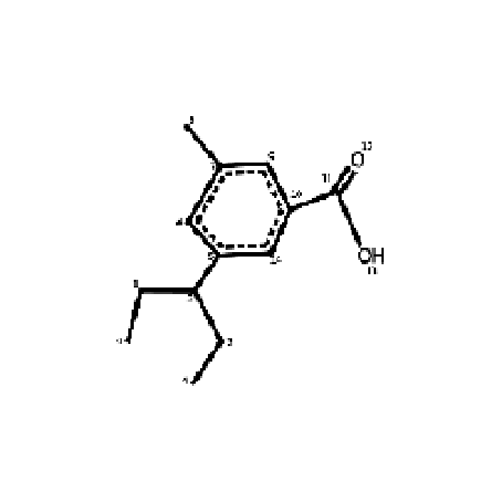 CCC(CC)c1cc(C)cc(C(=O)O)c1